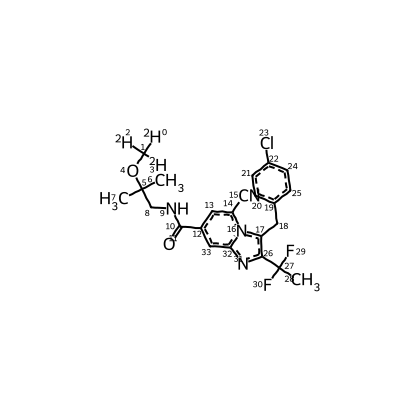 [2H]C([2H])([2H])OC(C)(C)CNC(=O)c1cc(C#N)n2c(Cc3ccc(Cl)cc3)c(C(C)(F)F)nc2c1